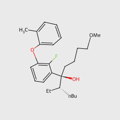 CCCC[C@H](CC)[C@@](O)(CCCCOC)c1cccc(Oc2ccccc2C)c1F